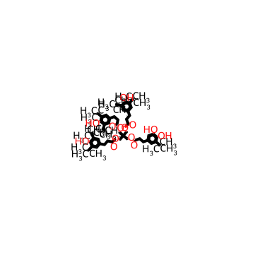 CC(C)(C)c1cc(CCC(=O)OCC(COC(=O)CCc2cc(C(C)(C)C)c(O)c(C(C)(C)C)c2)(COC(=O)CCc2cc(C(C)(C)C)c(O)c(C(C)(C)C)c2)COC(=O)CCc2cc(C(C)(C)C)c(O)c(C(C)(C)C)c2)cc(O)c1O